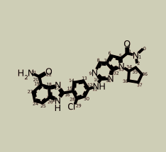 CN(C)C(=O)c1cc2cnc(Nc3ccc(-c4nc5c(C(N)=O)cccc5[nH]4)c(Cl)c3)nc2n1C1CCCC1